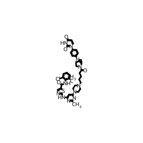 Cc1nc(Nc2ncc(C(=O)Nc3c(C)cccc3Cl)s2)cc(N2CCN(CCCCC(=O)N3CC4CC3CN4c3ccc(-n4ccc(=O)[nH]c4=O)cc3)CC2)n1